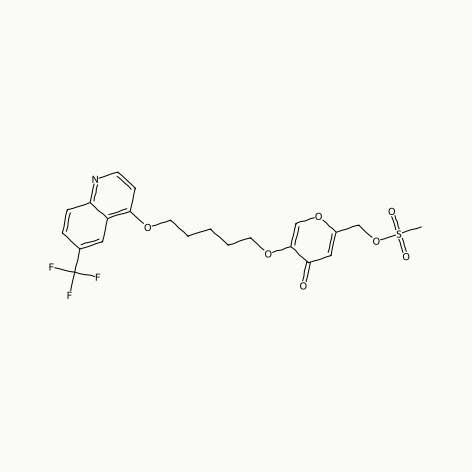 CS(=O)(=O)OCc1cc(=O)c(OCCCCCOc2ccnc3ccc(C(F)(F)F)cc23)co1